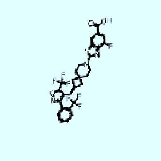 O=C(O)c1cc(F)c2nc(N3CCC4(CC3)CC(=Cc3c(-c5ccccc5C(F)(F)F)noc3C(F)(F)F)C4)sc2c1